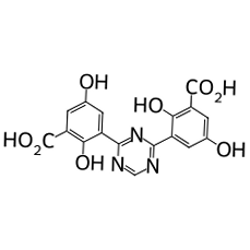 O=C(O)c1cc(O)cc(-c2ncnc(-c3cc(O)cc(C(=O)O)c3O)n2)c1O